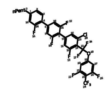 CCCCCc1ccc(-c2cc(F)c(-c3cc(F)c(C(F)(F)Oc4cc(F)c(C(F)(F)F)c(F)c4)c(Cl)c3)c(F)c2)c(F)c1